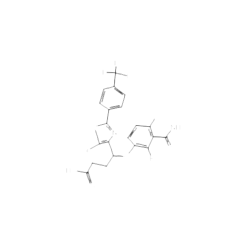 NC(=O)c1c(F)ccc(OC(CCC(=O)O)c2nc(-c3ccc(C(F)(F)F)cc3)oc2Br)c1F